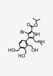 CNCc1[nH]c(C(=O)OC(C)C)c(Br)c1-c1ccc(CO)c(CO)c1CO